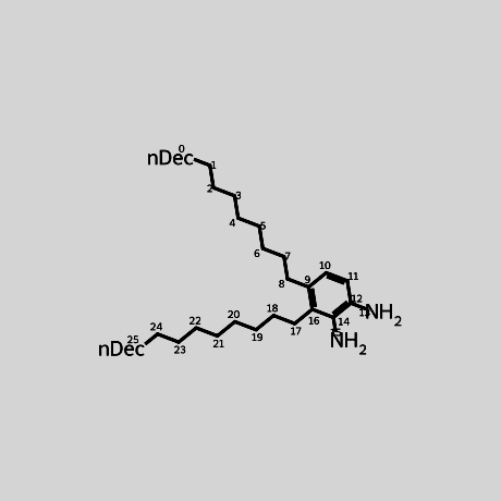 CCCCCCCCCCCCCCCCCCc1ccc(N)c(N)c1CCCCCCCCCCCCCCCCCC